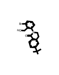 CC(C)(C)c1ccc2c(c1)CCN(c1cccc(Br)c1CO)C2=O